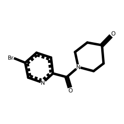 O=C1CCN(C(=O)c2ccc(Br)cn2)CC1